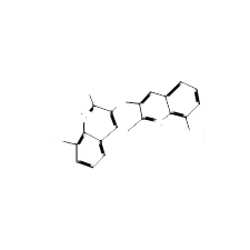 Cc1nc2c(O)cccc2cc1Oc1cc2cccc(O)c2nc1C